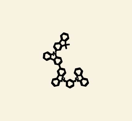 CC1(C)c2ccccc2-c2ccc(-n3c4ccccc4c4cc(-c5ccc6c(c5)c5ccccc5n6-c5cccc(-n6c7ccccc7c7ccccc76)c5)ccc43)cc21